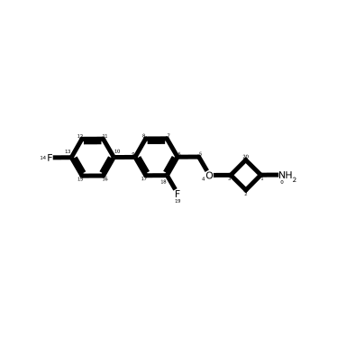 NC1CC(OCc2ccc(-c3ccc(F)cc3)cc2F)C1